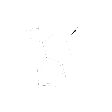 C[C@@H]1CC(CC(=O)O)c2ccccc2O1